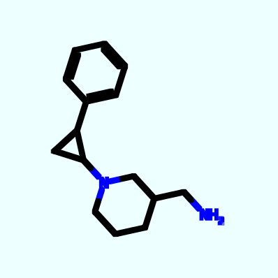 NCC1CCCN(C2CC2c2ccccc2)C1